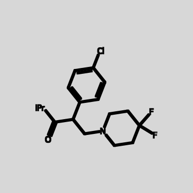 CC(C)C(=O)C(CN1CCC(F)(F)CC1)c1ccc(Cl)cc1